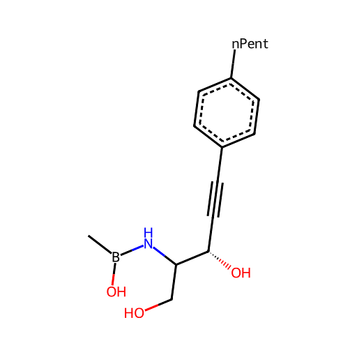 CCCCCc1ccc(C#C[C@H](O)C(CO)NB(C)O)cc1